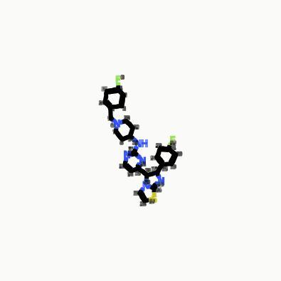 Fc1ccc(CN2CCC(Nc3nccc(C4C(c5ccc(F)cc5)N=C5SC=CN54)n3)CC2)cc1